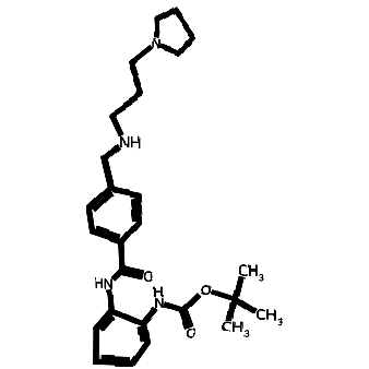 CC(C)(C)OC(=O)Nc1ccccc1NC(=O)c1ccc(CNCCCN2CCCC2)cc1